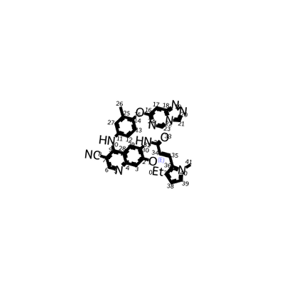 CCOc1cc2ncc(C#N)c(Nc3ccc(Oc4cc5nncn5cn4)c(C)c3)c2cc1NC(=O)/C=C/c1cccn1C